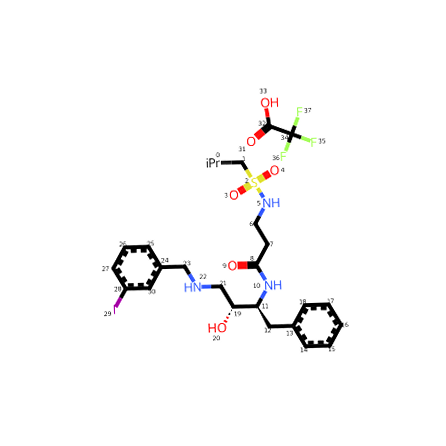 CC(C)CS(=O)(=O)NCCC(=O)N[C@@H](Cc1ccccc1)[C@H](O)CNCc1cccc(I)c1.O=C(O)C(F)(F)F